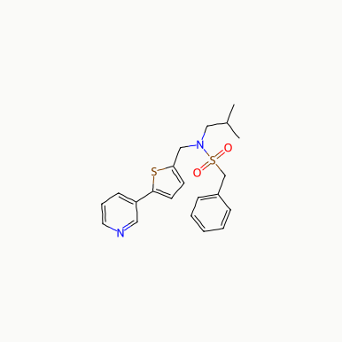 CC(C)CN(Cc1ccc(-c2cccnc2)s1)S(=O)(=O)Cc1ccccc1